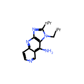 CCCc1nc2nc3ccncc3c(N)c2n1CC(C)C